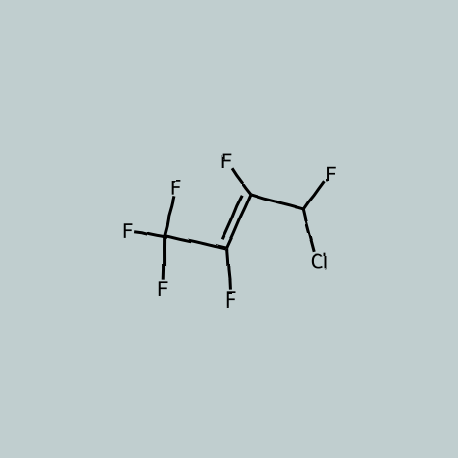 FC(=C(F)C(F)(F)F)C(F)Cl